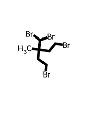 CC(CCBr)(CCBr)C(Br)Br